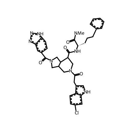 CNC(=O)[C@H](CCCc1ccccc1)NC(=O)C1CN(C(=O)Cc2c[nH]c3cc(Cl)ccc23)CC2CN(C(=O)c3ccc4[nH]nnc4c3)CC21